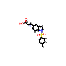 Cc1ccc(S(=O)(=O)n2ccc3cc(/C=C/C(=O)O)ccc32)cc1